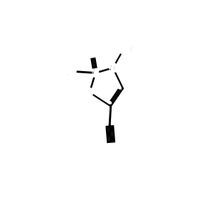 C#CC1=CN(C)P(C)(=S)S1